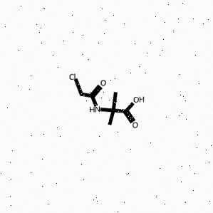 CC(C)(NC(=O)CCl)C(=O)O